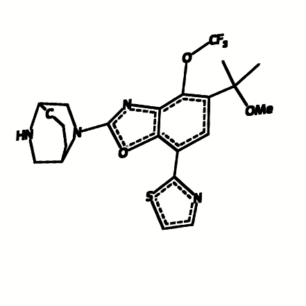 COC(C)(C)c1cc(-c2nccs2)c2oc(N3CC4CCCC3CN4)nc2c1OC(F)(F)F